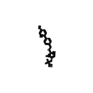 CCC(C)(C)Cc1cnc([CH]Cc2ccc(-c3ccc(F)cn3)cc2)n1C